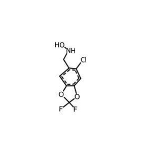 ONCc1cc2c(cc1Cl)OC(F)(F)O2